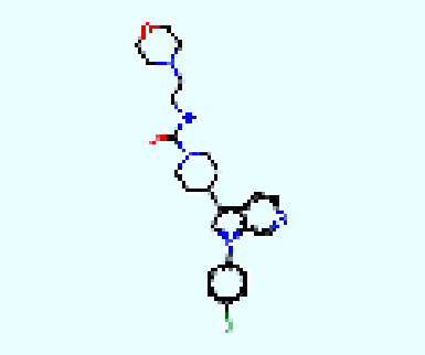 O=C(NCCN1CCOCC1)N1CCC(c2cn(-c3ccc(Cl)cc3)c3cnccc23)CC1